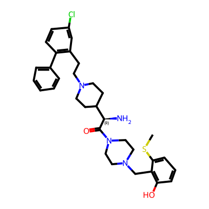 CSc1cccc(O)c1CN1CCN(C(=O)[C@H](N)C2CCN(CCc3cc(Cl)ccc3-c3ccccc3)CC2)CC1